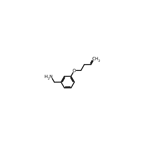 C=CCCOc1cccc(CN)c1